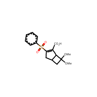 COC1(OC)CC2CC(S(=O)(=O)c3ccccc3)=C(C(=O)O)C21